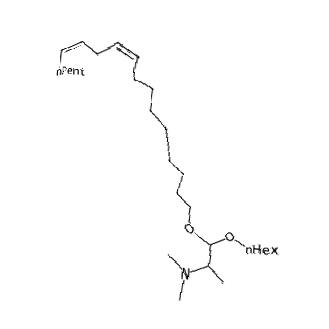 CCCCC/C=C\C/C=C\CCCCCCCCOC(OCCCCCC)C(C)N(C)C